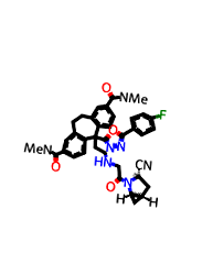 CNC(=O)c1ccc2c(c1)CCc1cc(C(=O)NC)ccc1C2(CCNCC(=O)N1[C@H](C#N)C[C@@H]2C[C@@H]21)c1nnc(-c2ccc(F)cc2)o1